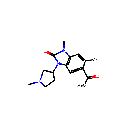 COC(=O)c1cc2c(cc1C(C)=O)n(C)c(=O)n2C1CCN(C)C1